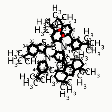 CC(C)(C)c1ccc(-c2cc(C(C)(C)C)ccc2N2c3ccc(C(C)(C)C)cc3B3c4sc5ccc(C(C)(C)C)cc5c4N(c4ccc(C(C)(C)C)cc4)c4cc(-c5c6c(cc7c5C(C)(C)CCC7(C)C)C(C)(C)CCC6(C)C)cc2c43)cc1